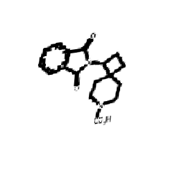 O=C(O)N1CCC2(CCC2N2C(=O)c3ccccc3C2=O)CC1